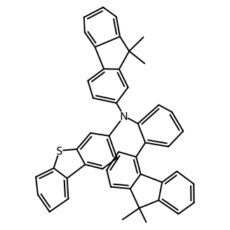 CC1(C)c2ccccc2-c2ccc(N(c3ccc4c(c3)sc3ccccc34)c3ccccc3-c3cccc4c3-c3ccccc3C4(C)C)cc21